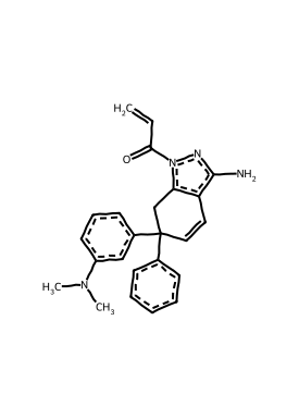 C=CC(=O)n1nc(N)c2c1CC(c1ccccc1)(c1cccc(N(C)C)c1)C=C2